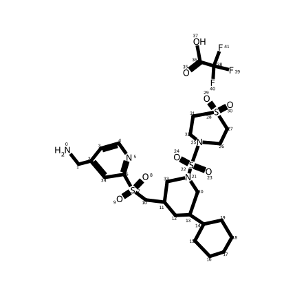 NCc1ccnc(S(=O)(=O)CC2CC(C3CCCCC3)CN(S(=O)(=O)N3CCS(=O)(=O)CC3)C2)c1.O=C(O)C(F)(F)F